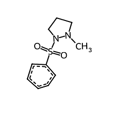 CN1CCCN1S(=O)(=O)c1ccccc1